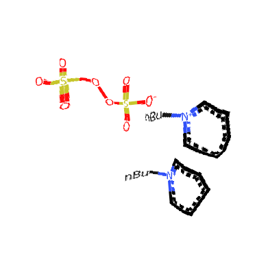 CCCC[n+]1ccccc1.CCCC[n+]1ccccc1.O=S(=O)([O-])OOS(=O)(=O)[O-]